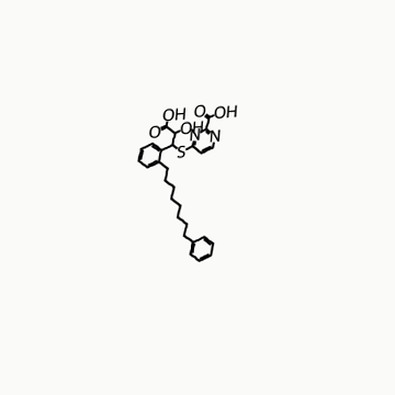 O=C(O)c1nccc(SC(c2ccccc2CCCCCCCCc2ccccc2)C(O)C(=O)O)n1